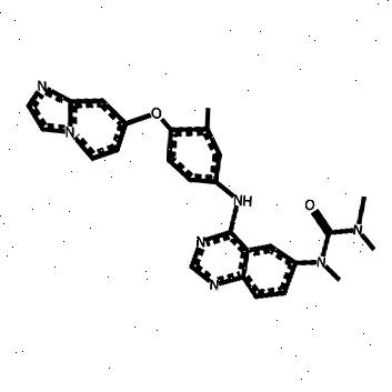 Cc1cc(Nc2ncnc3ccc(N(C)C(=O)N(C)C)cc23)ccc1Oc1ccn2ccnc2c1